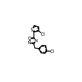 Clc1ccc(Cc2noc(-c3sccc3Cl)n2)cc1